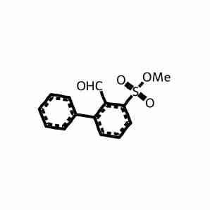 COS(=O)(=O)c1cccc(-c2ccccc2)c1C=O